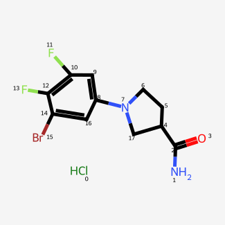 Cl.NC(=O)C1CCN(c2cc(F)c(F)c(Br)c2)C1